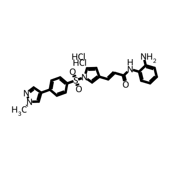 Cl.Cl.Cn1cc(-c2ccc(S(=O)(=O)n3ccc(/C=C/C(=O)Nc4ccccc4N)c3)cc2)cn1